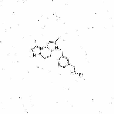 CCNCc1cccc(CN2C(C)=CC3C2C=Cc2nnc(C)n23)c1